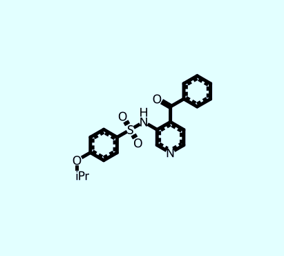 CC(C)Oc1ccc(S(=O)(=O)Nc2cnccc2C(=O)c2ccccc2)cc1